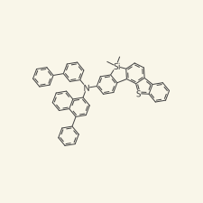 C[Si]1(C)c2cc(N(c3cccc(-c4ccccc4)c3)c3ccc(-c4ccccc4)c4ccccc34)ccc2-c2c1ccc1c2sc2ccccc21